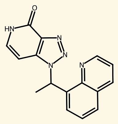 CC(c1cccc2cccnc12)n1nnc2c(=O)[nH]ccc21